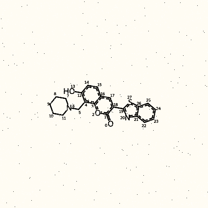 O=c1oc2c(CN3CCCCC3)c(O)ccc2cc1-c1nc2ccccc2s1